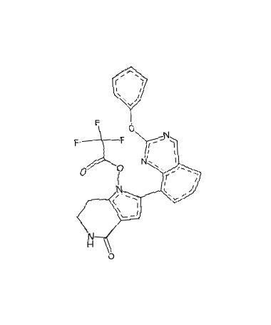 O=C1NCCc2c1cc(-c1cccc3cnc(Oc4ccccc4)nc13)n2OC(=O)C(F)(F)F